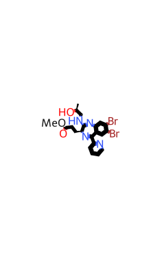 COC(=O)CC[C@@H]1N=C(c2ccccn2)c2cc(Br)c(Br)cc2N=C1NC[C@H](C)O